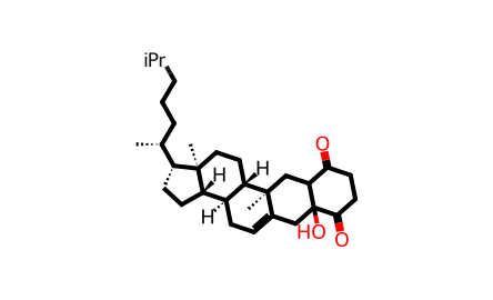 CC(C)CCC[C@@H](C)[C@H]1CC[C@H]2[C@@H]3CC=C4CC5(O)C(=O)CCC(=O)C5C[C@]4(C)[C@H]3CC[C@]12C